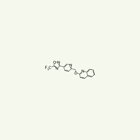 FC(F)(F)c1nc(-c2ccc(COc3ccc4ccccc4n3)nc2)no1